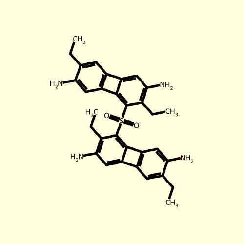 CCc1cc2c(cc1N)-c1c-2cc(N)c(CC)c1S(=O)(=O)c1c(CC)c(N)cc2c1-c1cc(N)c(CC)cc1-2